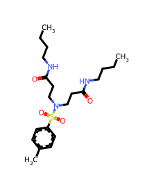 CCCCNC(=O)CCN(CCC(=O)NCCCC)S(=O)(=O)c1ccc(C)cc1